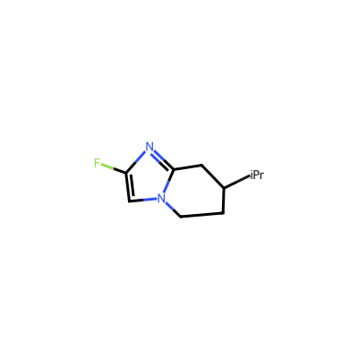 CC(C)C1CCn2cc(F)nc2C1